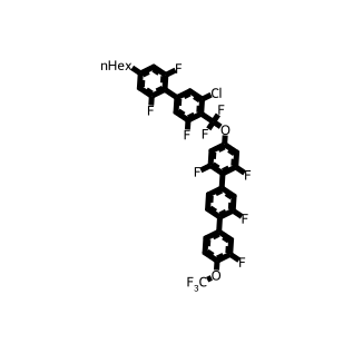 CCCCCCc1cc(F)c(-c2cc(F)c(C(F)(F)Oc3cc(F)c(-c4ccc(-c5ccc(OC(F)(F)F)c(F)c5)c(F)c4)c(F)c3)c(Cl)c2)c(F)c1